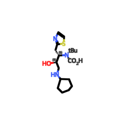 CC(C)(C)N(C(=O)O)[C@@H](Cc1nccs1)[C@H](O)CNC1CCCCC1